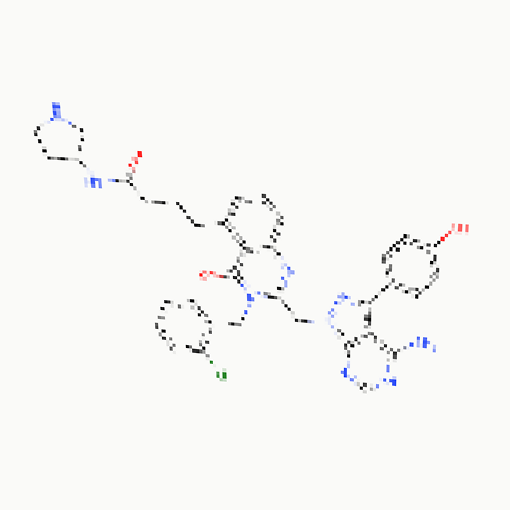 Nc1ncnc2c1c(-c1ccc(O)cc1)nn2Cc1nc2cccc(CCCC(=O)NC3CCNC3)c2c(=O)n1Cc1ccccc1Cl